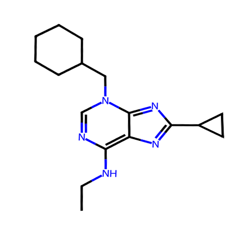 CCNc1ncn(CC2CCCCC2)c2nc(C3CC3)nc1-2